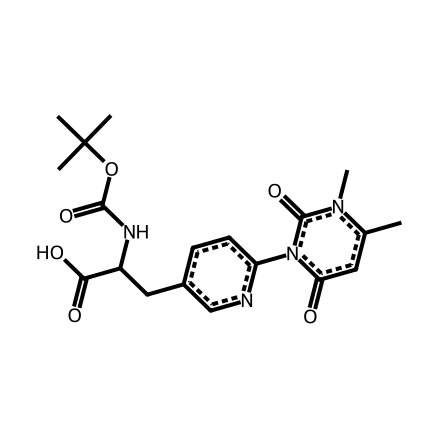 Cc1cc(=O)n(-c2ccc(CC(NC(=O)OC(C)(C)C)C(=O)O)cn2)c(=O)n1C